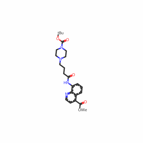 COC(=O)c1ccnc2c(NC(=O)CCCN3CCN(C(=O)OC(C)(C)C)CC3)cccc12